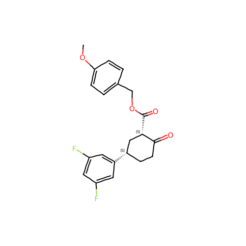 COc1ccc(COC(=O)[C@H]2C[C@@H](c3cc(F)cc(F)c3)CCC2=O)cc1